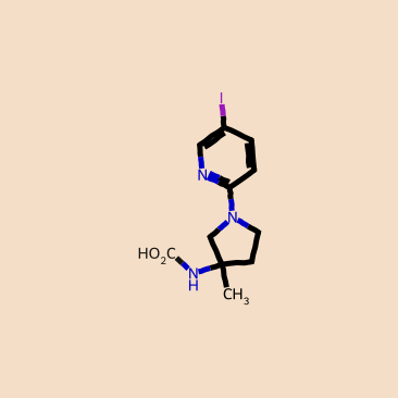 CC1(NC(=O)O)CCN(c2ccc(I)cn2)C1